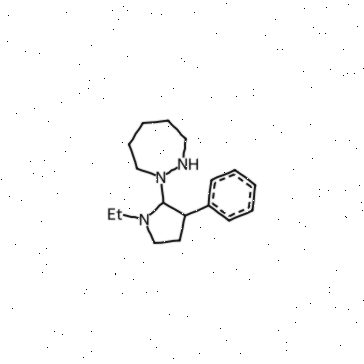 CCN1CCC(c2ccccc2)C1N1CCCCCN1